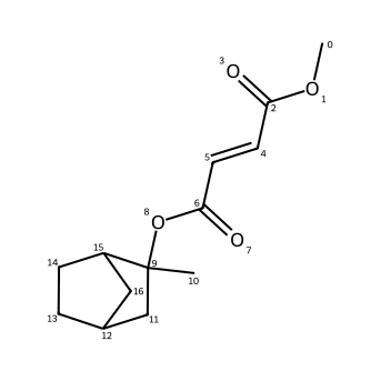 COC(=O)/C=C/C(=O)OC1(C)CC2CCC1C2